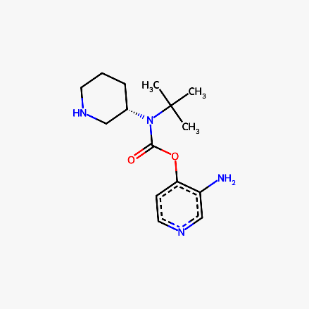 CC(C)(C)N(C(=O)Oc1ccncc1N)[C@H]1CCCNC1